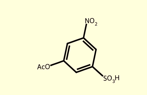 CC(=O)Oc1cc([N+](=O)[O-])cc(S(=O)(=O)O)c1